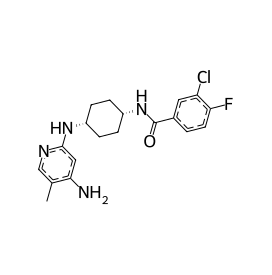 Cc1cnc(N[C@H]2CC[C@@H](NC(=O)c3ccc(F)c(Cl)c3)CC2)cc1N